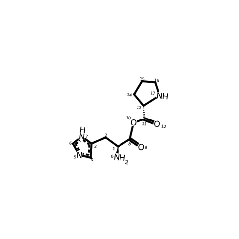 N[C@@H](Cc1cnc[nH]1)C(=O)OC(=O)[C@@H]1CCCN1